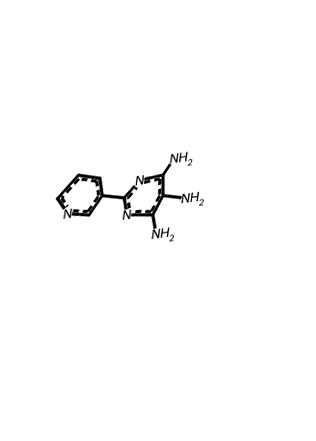 Nc1nc(-c2cccnc2)nc(N)c1N